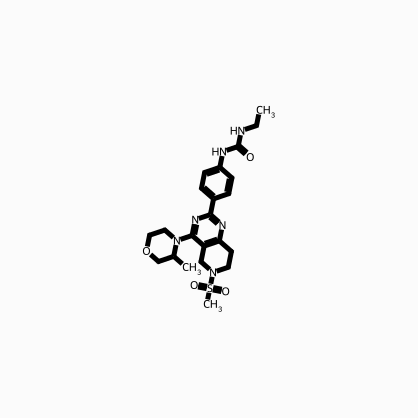 CCNC(=O)Nc1ccc(-c2nc3c(c(N4CCOCC4C)n2)CN(S(C)(=O)=O)CC3)cc1